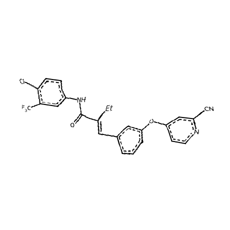 CC/C(=C\c1cccc(Oc2ccnc(C#N)c2)c1)C(=O)Nc1ccc(Cl)c(C(F)(F)F)c1